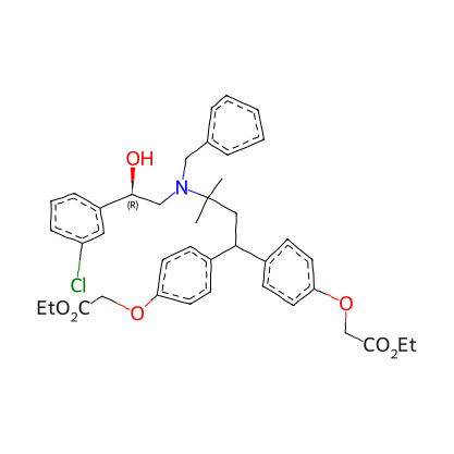 CCOC(=O)COc1ccc(C(CC(C)(C)N(Cc2ccccc2)C[C@H](O)c2cccc(Cl)c2)c2ccc(OCC(=O)OCC)cc2)cc1